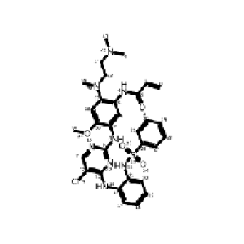 C=CC(=O)Nc1cc(Nc2ncc(Cl)c(Nc3ccccc3NS(=O)(=O)c3ccccc3)n2)c(OC)cc1N(C)CCN(C)C